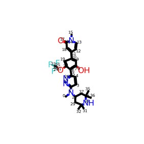 CN(c1ccc(-c2c(O)cc(-c3ccn(C)c(=O)c3)cc2OC(F)(F)F)nn1)C1CC(C)(C)NC(C)(C)C1